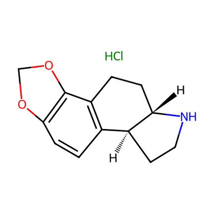 Cl.c1cc2c(c3c1OCO3)CC[C@@H]1NCC[C@@H]21